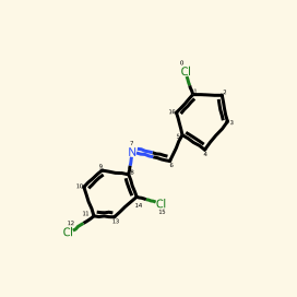 Clc1cccc(C=Nc2ccc(Cl)cc2Cl)c1